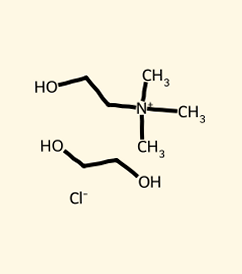 C[N+](C)(C)CCO.OCCO.[Cl-]